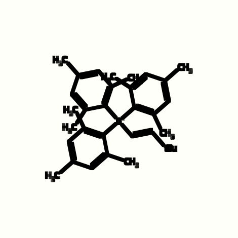 Cc1cc(C)c([B-](/C=C/C(C)(C)C)(c2c(C)cc(C)cc2C)c2c(C)cc(C)cc2C)c(C)c1